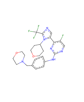 Fc1cnc(Nc2ccc(CN3CCOCC3)cc2)nc1-c1cnc(C(F)(F)F)n1C1CCOCC1